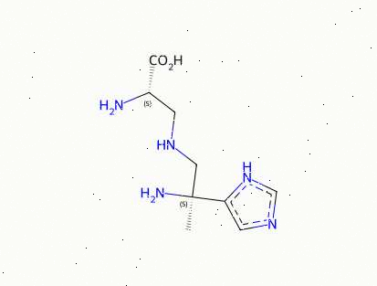 C[C@](N)(CNC[C@H](N)C(=O)O)c1cnc[nH]1